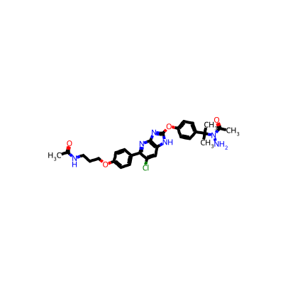 CC(=O)NCCCOc1ccc(-c2nc3nc(Oc4ccc(C(C)(C)N(N)C(C)=O)cc4)[nH]c3cc2Cl)cc1